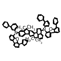 CC1(C)c2cc(N(c3cccc(-c4ccccc4)c3)c3cccc4c3oc3c(-c5ccccc5)cccc34)ccc2-c2cc3c(cc21)-c1ccc(N(c2cccc(-c4ccccc4)c2)c2cccc4c2oc2c(-c5ccccc5)cccc24)c2cccc(c12)C3(C)C